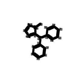 Cn1ncnc1P(c1ccccc1)c1ccccc1